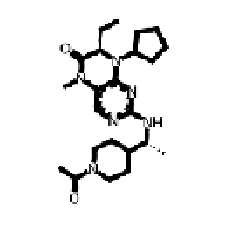 CC[C@@H]1C(=O)N(C)c2cnc(N[C@H](C)C3CCN(C(C)=O)CC3)nc2N1C1CCCC1